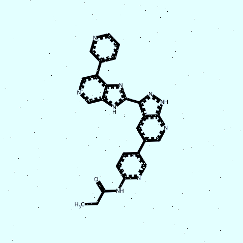 CCC(=O)Nc1ccc(-c2cnc3[nH]nc(-c4nc5c(-c6cccnc6)cncc5[nH]4)c3c2)cn1